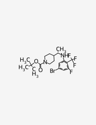 C[C@H](Nc1cc(Br)cc(F)c1C(F)(F)F)C1CCN(C(=O)OC(C)(C)C)CC1